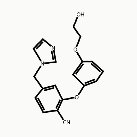 N#Cc1ccc(Cn2ccnc2)cc1Oc1cccc(OCCO)c1